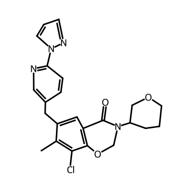 Cc1c(Cc2ccc(-n3cccn3)nc2)cc2c(c1Cl)OCN(C1CCCOC1)C2=O